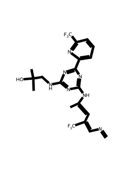 C=N/C=C(\C=C(/C)Nc1nc(NCC(C)(C)O)nc(-c2cccc(C(F)(F)F)n2)n1)C(F)(F)F